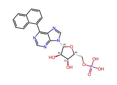 O=P(O)(O)OC[C@H]1O[C@@H](n2cnc3c(-c4cccc5ccccc45)ncnc32)[C@H](O)[C@@H]1O